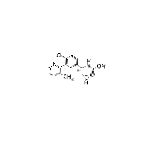 Cc1cccnc1-c1cc([C@@H](CO)NC(=O)O)ccc1Cl